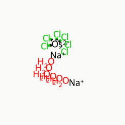 O.O.O.O.O.O.[Cl][Os-2]([Cl])([Cl])([Cl])([Cl])[Cl].[Na+].[Na+]